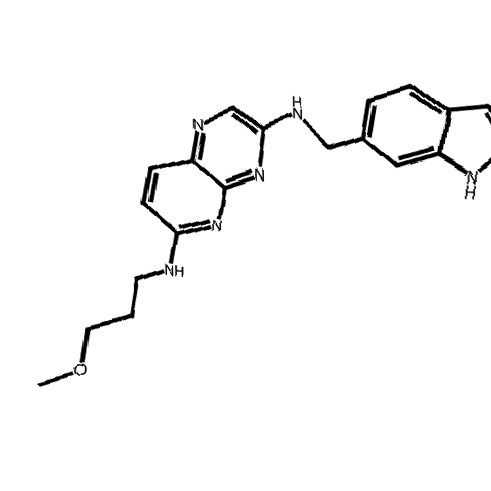 COCCCNc1ccc2ncc(NCc3ccc4cc[nH]c4c3)nc2n1